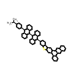 CC(C)c1ccc(-c2c3ccccc3c(-c3c4ccccc4c(-c4ccc5c(c4)sc4cc6c7ccccc7c7cc8ccccc8cc7c6cc45)c4ccccc34)c3ccccc23)cc1